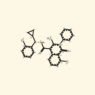 Cc1c(C(=O)N[C@H](c2ccccc2Cl)C2CC2)c2cccc(Cl)c2c(=O)n1-c1ccccc1